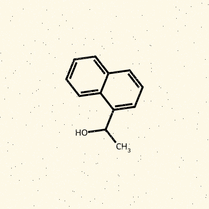 C[C](O)c1cccc2ccccc12